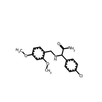 COc1ccc(CNC(C(N)=O)c2ccc(Cl)cc2)c(OC)c1